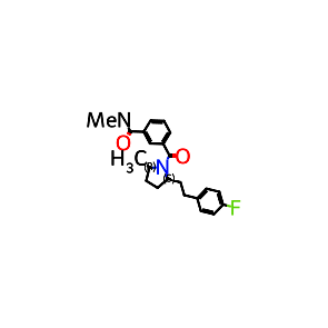 CNC(=O)c1cccc(C(=O)N2[C@@H](CCc3ccc(F)cc3)CC[C@H]2C)c1